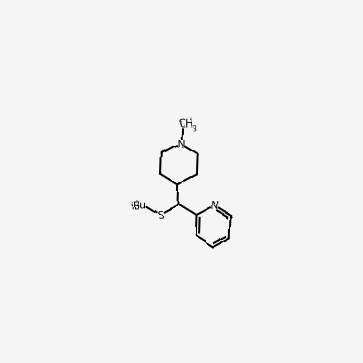 CCC(C)SC(c1ccccn1)C1CCN(C)CC1